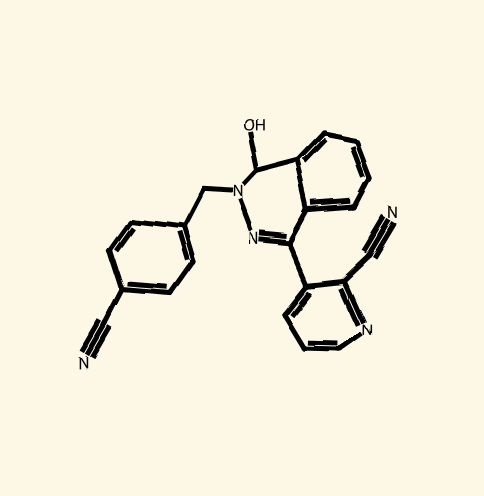 N#Cc1ccc(CN2N=C(c3cccnc3C#N)c3ccccc3C2O)cc1